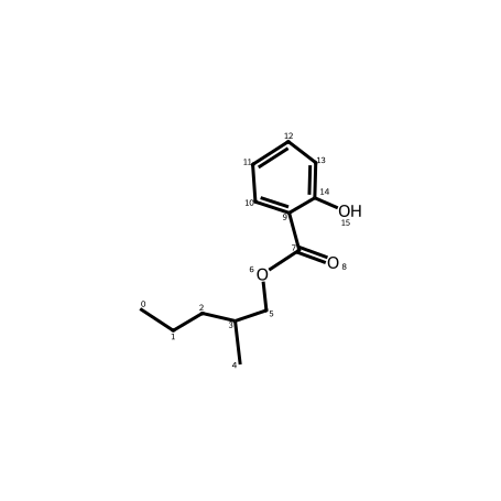 CCCC(C)COC(=O)c1ccccc1O